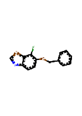 Fc1c(SCc2ccccc2)ccc2ncsc12